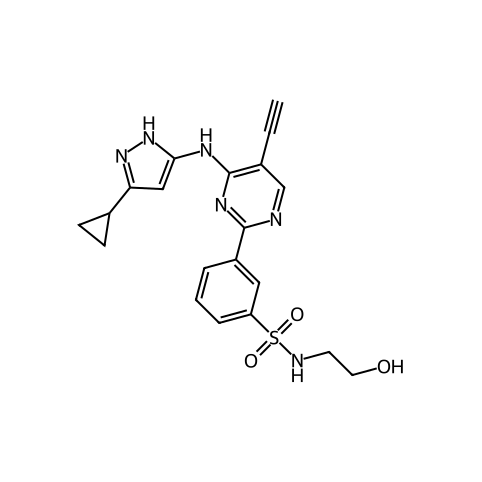 C#Cc1cnc(-c2cccc(S(=O)(=O)NCCO)c2)nc1Nc1cc(C2CC2)n[nH]1